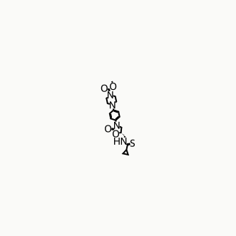 COC(=O)N1CCN(c2ccc(N3C[C@H](CNC(=S)C4CC4)OC3=O)cc2)CC1